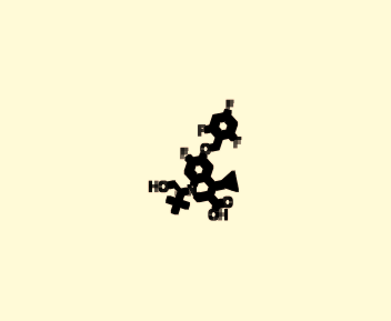 CC(C)(C)[C@@H](CO)N1C=C(C(=O)O)C(=C2CC2)c2cc(OCc3c(F)cc(F)cc3F)c(F)cc21